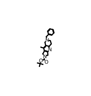 Cc1c2c(nc3c1CN(C(=O)OC(C)(C)C)C3)CCN(Cc1ccccc1)C2